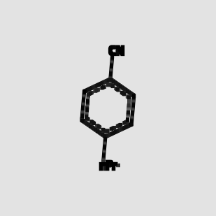 CC[CH]c1ccc(C#N)cc1